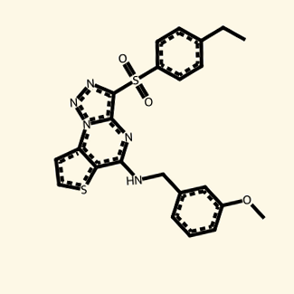 CCc1ccc(S(=O)(=O)c2nnn3c2nc(NCc2cccc(OC)c2)c2sccc23)cc1